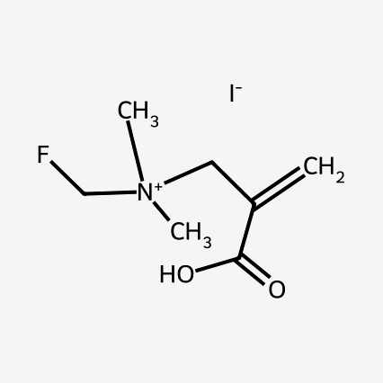 C=C(C[N+](C)(C)CF)C(=O)O.[I-]